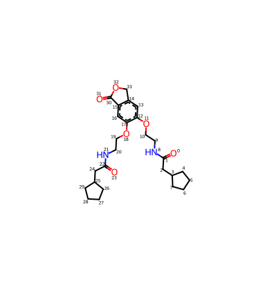 O=C(CC1CCCC1)NCCOc1cc2c(cc1OCCNC(=O)CC1CCCC1)C(=O)OC2